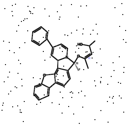 C/C(=C/C(C)O)O[C@@]1(C)c2ccc3c(oc4ccccc43)c2C2C=C(c3ccccc3)C=CN21